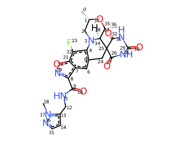 C[C@H]1CN2c3c(cc4c(C(=O)NCc5ccnn5C)noc4c3F)CC3(C(=O)NC(=O)NC3=O)[C@@H]2[C@@H](C)O1